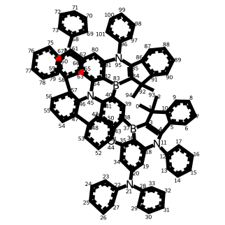 CC1(C)C2=C(c3ccccc31)N(c1ccccc1)c1cc(N(c3ccccc3)c3ccccc3)cc3c1B2c1cc2c(cc1O3)N(c1c(-c3ccccc3)cccc1-c1ccccc1)c1cc(N(c3ccccc3)c3ccccc3)cc3c1B2C1=C(c2ccccc2C1(C)C)N3c1ccccc1